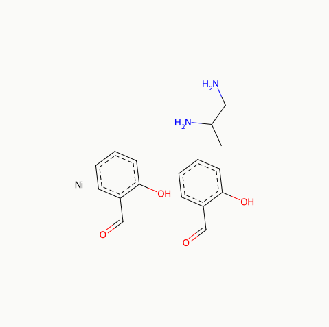 CC(N)CN.O=Cc1ccccc1O.O=Cc1ccccc1O.[Ni]